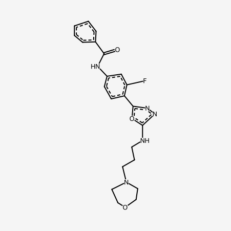 O=C(Nc1ccc(-c2nnc(NCCCN3CCOCC3)o2)c(F)c1)c1ccccc1